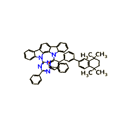 CC1(C)CCC(C)(C)c2cc(-c3cccc(-c4ccccc4-n4c5ccccc5c5ccc6c7ccccc7n(-c7nc(-c8ccccc8)nc(-c8ccccc8)n7)c6c54)c3)ccc21